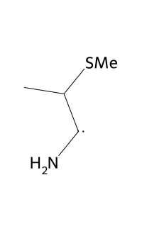 CSC(C)[CH]N